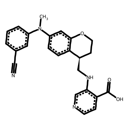 CN(c1cccc(C#N)c1)c1ccc2c(c1)OCC[C@H]2CNc1cnccc1C(=O)O